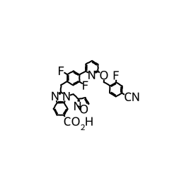 N#Cc1ccc(COc2cccc(-c3cc(F)c(Cc4nc5ccc(C(=O)O)cc5n4Cc4ccon4)cc3F)n2)c(F)c1